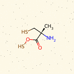 C[C@](N)(CS)C(=O)OS